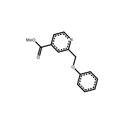 COC(=O)c1ccnc(COc2ccccc2)c1